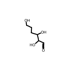 O=CC(O)C(O)CCCO